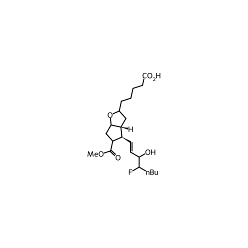 CCCCC(F)C(O)/C=C/[C@H]1C(C(=O)OC)CC2OC(CCCCC(=O)O)C[C@@H]21